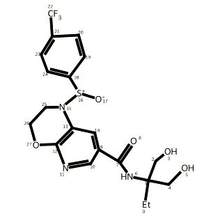 CCC(CO)(CO)NC(=O)c1cnc2c(c1)N([S+]([O-])c1ccc(C(F)(F)F)cc1)CCO2